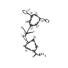 CC(C)(Oc1ccc(N)cc1)c1cc(Cl)cc(Cl)c1